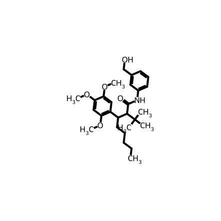 CCCCCC(c1cc(OC)c(OC)cc1OC)C(C(=O)Nc1cccc(CO)c1)C(C)(C)C